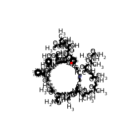 CC(=O)N[C@@H](CC(C)C)C(=O)N[C@H](C(=O)N[C@@H](Cc1ccccc1)C(=O)N[C@]1(C)CCCCCC/C=C/CCC[C@@](C)(C(=O)CN[C@@H](C)C(=O)CCN[C@@H](C)C(=O)CCN[C@@H](C)C(=O)CCN[C@@H](C)C(=O)CN[C@H](C)C(=O)N[C@H](C)C(N)=O)NC(=O)[C@H](CC(C)C)NN[C@@H](CCC(N)=O)C(=O)CC(=O)[C@H](C)NCC(=O)[C@H](Cc2c[nH]c3ccccc23)NC(=O)[C@H](Cc2ccc(O)cc2)NN[C@@H](CCC(=O)O)C(=O)C1=O)[C@@H](C)O